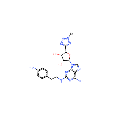 CCn1nnc([C@H]2O[C@@H](n3cnc4c(N)nc(NCCc5ccc(N)cc5)nc43)[C@H](O)[C@@H]2O)n1